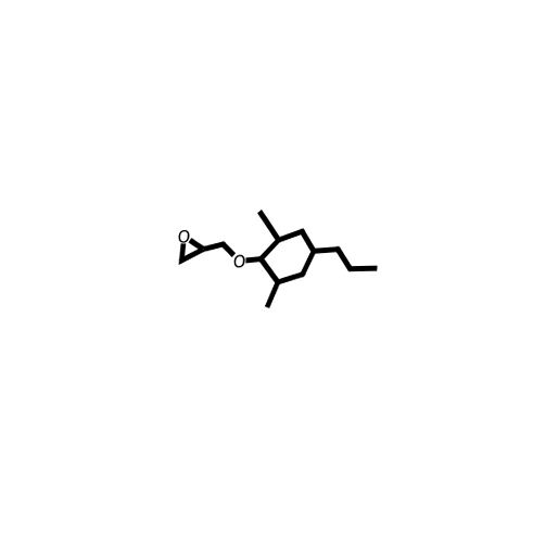 CCCC1CC(C)C(OCC2CO2)C(C)C1